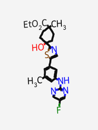 CCOC(=O)C1(C)CCC(O)(c2ncc(-c3cc(C)cc(Nc4ncc(F)cn4)c3)s2)CC1